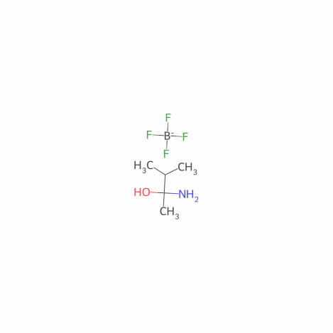 CC(C)C(C)(N)O.F[B-](F)(F)F